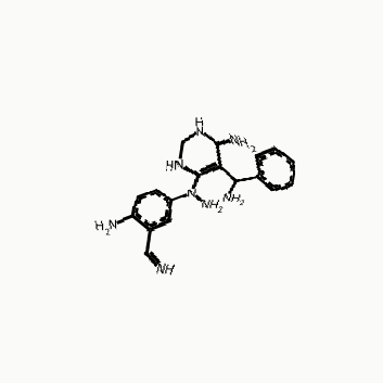 N=Cc1cc(N(N)C2=C(C(N)c3ccccc3)C(N)NCN2)ccc1N